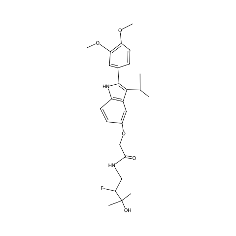 COc1ccc(-c2[nH]c3ccc(OCC(=O)NCC(F)C(C)(C)O)cc3c2C(C)C)cc1OC